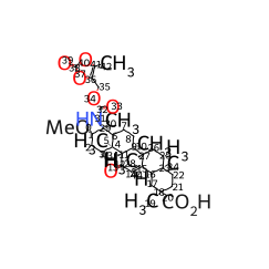 CO[C@H]1CC[C@@]2(C)C(CC[C@]3(C)[C@@H]2C(=O)C=C2[C@@H]4C[C@@](C)(C(=O)O)CC[C@]4(C)CC[C@]23C)[C@]1(C)NC(=O)OCc1oc(=O)oc1C